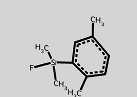 Cc1ccc(C)c([Si](C)(C)F)c1